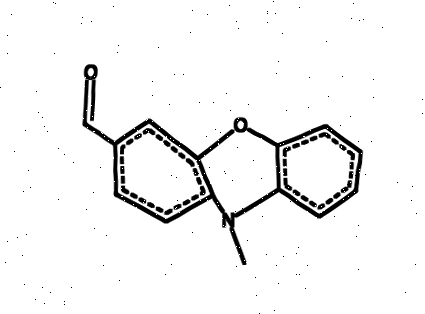 CN1c2ccccc2Oc2cc(C=O)ccc21